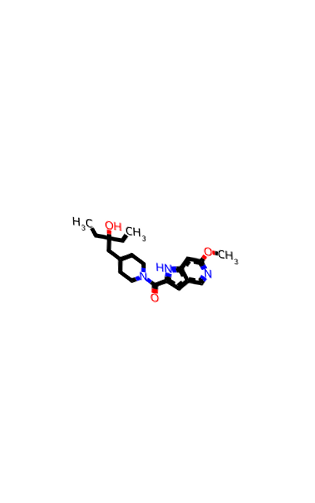 CCC(O)(CC)CC1CCN(C(=O)c2cc3cnc(OC)cc3[nH]2)CC1